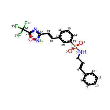 O=S(=O)(NC/C=C/c1ccccc1)c1cccc(/C=C/c2noc(C(F)(F)F)n2)c1